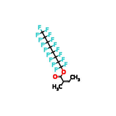 CC=C(C)C(=O)OC(F)(F)C(F)(F)C(F)(F)C(F)(F)C(F)(F)C(F)(F)C(F)(F)C(F)(F)F